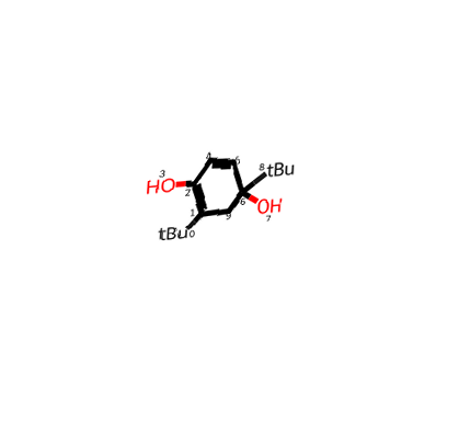 CC(C)(C)C1=C(O)C=CC(O)(C(C)(C)C)C1